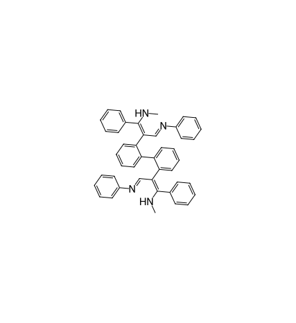 CN/C(=C(\C=N\c1ccccc1)c1ccccc1-c1ccccc1C(/C=N/c1ccccc1)=C(/NC)c1ccccc1)c1ccccc1